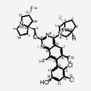 C[C@@]12CC[C@H](CN(c3nc(OC[C@@]45CCCN4C[C@H](F)C5)nc4c(F)c(-c5cc(O)cc(Cl)c5Cl)c(F)cc34)C1)N2